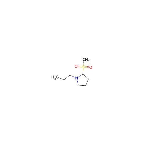 CCCN1CCCC1S(C)(=O)=O